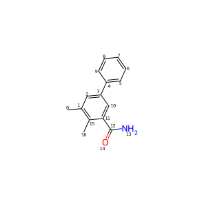 Cc1cc(-c2ccccc2)cc(C(N)=O)c1C